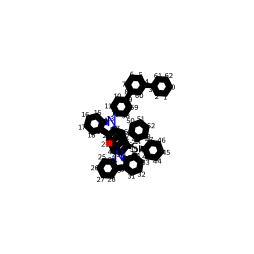 c1ccc(-c2cccc(-c3ccc(-n4c5ccccc5c5cc(-n6c7ccccc7c7cccc([Si](c8ccccc8)(c8ccccc8)c8ccccc8)c76)ccc54)cc3)c2)cc1